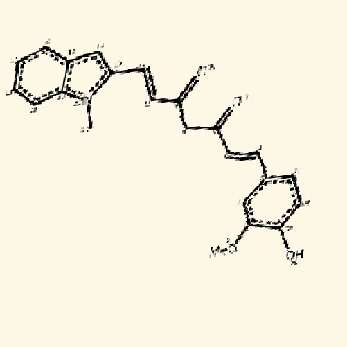 COc1cc(/C=C/C(=O)CC(=O)/C=C/c2cc3ccccc3n2C)ccc1O